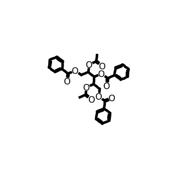 CC(=O)OC(COC(=O)c1ccccc1)C(OC(=O)c1ccccc1)C(COC(=O)c1ccccc1)OC(C)=O